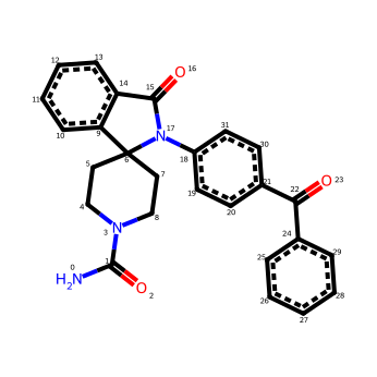 NC(=O)N1CCC2(CC1)c1ccccc1C(=O)N2c1ccc(C(=O)c2ccccc2)cc1